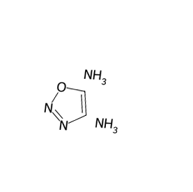 N.N.c1conn1